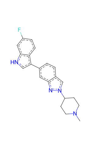 CN1CCC(n2cc3ccc(-c4c[nH]c5cc(F)ccc45)cc3n2)CC1